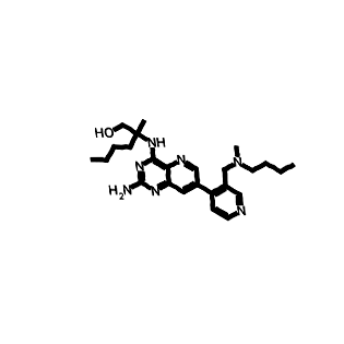 CCCCN(C)Cc1cnccc1-c1cnc2c(NC(C)(CO)CCCC)nc(N)nc2c1